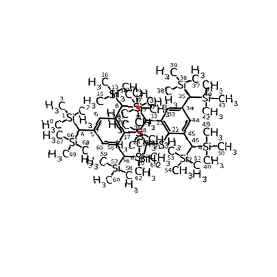 C[Si](C)(C)C(c1cc(C([Si](C)(C)C)[Si](C)(C)C)c(S[CH]([BiH2])Sc2c(C([Si](C)(C)C)[Si](C)(C)C)cc(C([Si](C)(C)C)[Si](C)(C)C)cc2C([Si](C)(C)C)[Si](C)(C)C)c(C([Si](C)(C)C)[Si](C)(C)C)c1)[Si](C)(C)C